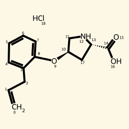 C=CCc1ccccc1O[C@H]1CN[C@H](C(=O)O)C1.Cl